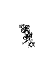 CC#CC(Cc1ccccc1)n1nnc2cc3c(cc2c1=O)OC1CCCN1C3=O